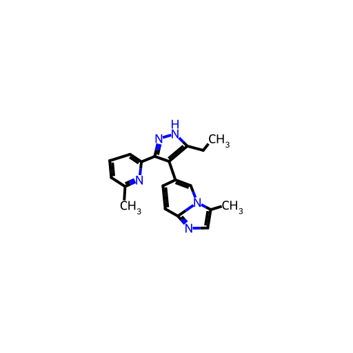 CCc1[nH]nc(-c2cccc(C)n2)c1-c1ccc2ncc(C)n2c1